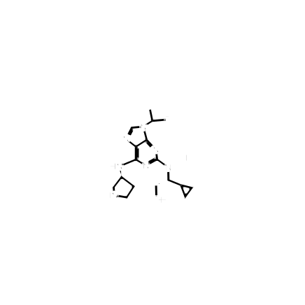 Cl.OC[C@H](Nc1nc(N[C@H]2CCNC2)c2ncn(C(F)F)c2n1)C1CC1